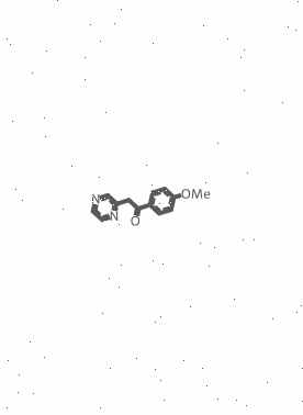 COc1ccc(C(=O)Cc2cnccn2)cc1